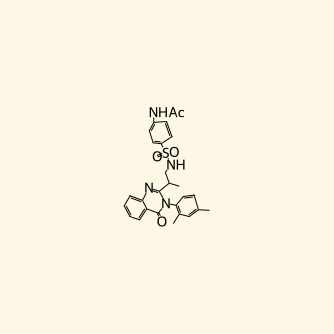 CC(=O)Nc1ccc(S(=O)(=O)NCC(C)c2nc3ccccc3c(=O)n2-c2ccc(C)cc2C)cc1